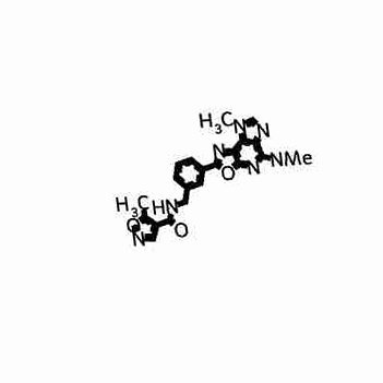 CNc1nc2oc(-c3cccc(CNC(=O)c4cnoc4C)c3)nc2c2c1ncn2C